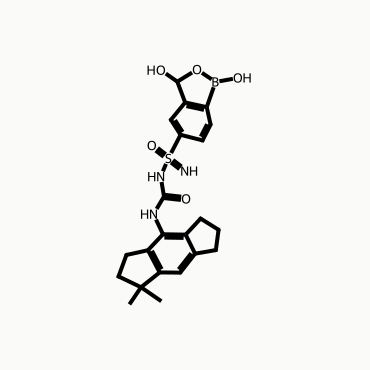 CC1(C)CCc2c1cc1c(c2NC(=O)NS(=N)(=O)c2ccc3c(c2)C(O)OB3O)CCC1